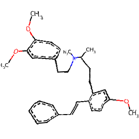 COc1ccc(/C=C/c2ccccc2)c(CCC(C)N(C)CCc2ccc(OC)c(OC)c2)c1